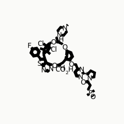 Cc1c(Cl)c2c(Cl)c(C)c1-c1c(-c3ccc(F)cc3)sc3ncnc(c13)O[C@@H](C(=O)O)Cc1cc(ccc1OCc1ccnc([C@H]3CCCN3C(=O)CCP(C)(C)=O)n1)OC[C@@H](CN1CCN(C)CC1)O2